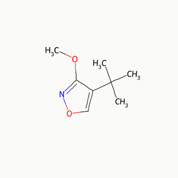 COc1nocc1C(C)(C)C